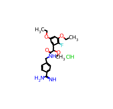 CCOc1cc(OCC)c(F)c(C(OC)C(=O)NCc2ccc(C(=N)N)cc2)c1.Cl